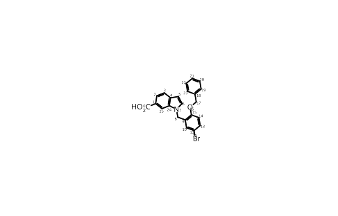 O=C(O)c1ccc2ccn(Cc3cc(Br)ccc3OCc3ccccc3)c2c1